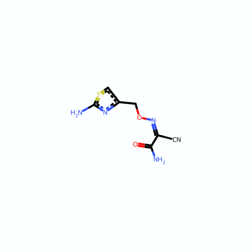 N#C/C(=N/OCc1csc(N)n1)C(N)=O